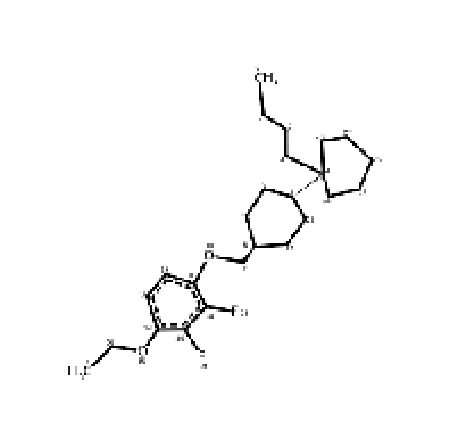 CCCCC1([C@H]2CC[C@H](COc3ccc(OCC)c(F)c3F)CC2)CCCCC1